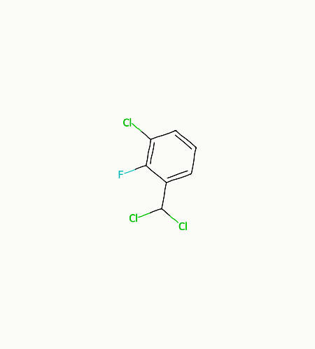 Fc1c(Cl)cccc1C(Cl)Cl